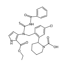 CCOC(=O)c1[nH]ccc1N(Cc1ccc(Cl)cc1C1CCCCN1C(=O)O)C(=S)NC(=O)c1ccccc1